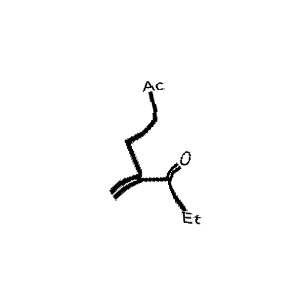 C=C(CCC(C)=O)C(=O)CC